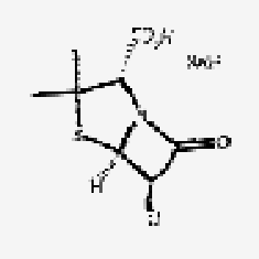 CC1(C)S[C@@H]2[C@H](Cl)C(=O)N2[C@H]1C(=O)O.[NaH]